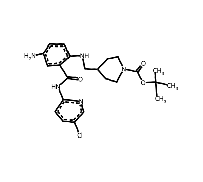 CC(C)(C)OC(=O)N1CCC(CNc2ccc(N)cc2C(=O)Nc2ccc(Cl)cn2)CC1